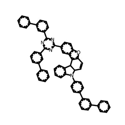 C1=CC2C(c3ccccc3N2c2ccc(-c3cccc(-c4ccccc4)c3)cc2)c2c1oc1ccc(-c3nc(-c4cccc(-c5ccccc5)c4)nc(-c4cccc(-c5ccccc5)c4)n3)cc21